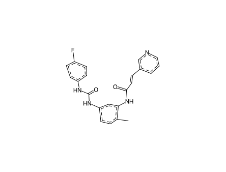 Cc1ccc(NC(=O)Nc2ccc(F)cc2)cc1NC(=O)C=Cc1cccnc1